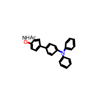 CC(=O)NOc1ccc(-c2ccc(N(c3ccccc3)c3ccccc3)cc2)cc1